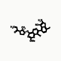 C=CC(=O)N1CC[C@@H](Oc2nc(OC)nc3c(F)c(-c4ccc(F)c5sc(N)c(C#N)c45)ncc23)[C@H]1C